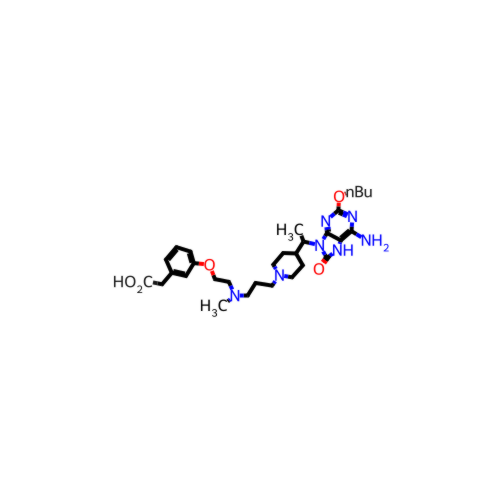 CCCCOc1nc(N)c2[nH]c(=O)n(C(C)C3CCN(CCCN(C)CCOc4cccc(CC(=O)O)c4)CC3)c2n1